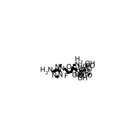 NC[C@]1(COP(=O)(O)OP(=O)(O)OP(=O)(O)O)OC(n2cnc3c(N)ncnc32)[C@H](F)[C@@H]1O